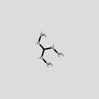 [SiH3]OC(O[SiH3])O[SiH3]